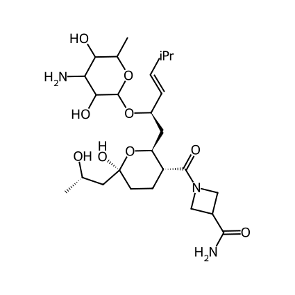 CC(C)/C=C/[C@@H](C[C@@H]1O[C@](O)(C[C@H](C)O)CC[C@H]1C(=O)N1CC(C(N)=O)C1)OC1OC(C)C(O)C(N)C1O